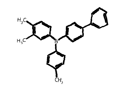 Cc1ccc(N(c2ccc(-c3ccccc3)cc2)c2ccc(C)c(C)c2)cc1